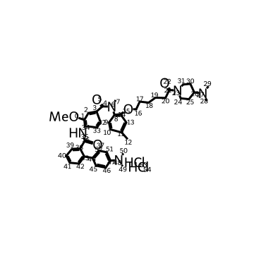 COc1cc(C(=O)N(C)c2ccc(C)cc2OCCCCCC(=O)N2CCC(N(C)C)CC2)ccc1NC(=O)c1ccccc1-c1ccc(N(C)C)cc1.Cl.Cl